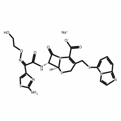 Nc1nc(/C(=N/OCCO)C(=O)N[C@@H]2C(=O)N3C(C(=O)[O-])=C(CSc4cccc5nccn45)CS[C@@H]23)cs1.[Na+]